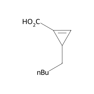 CCCCCC1C=C1C(=O)O